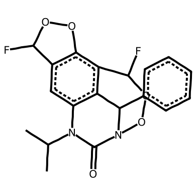 CC(C)N1C(=O)N2OOC(F)c3c4c(cc1c3C2c1ccccc1)C(F)OO4